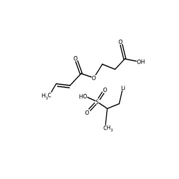 CC=CC(=O)OCCC(=O)O.[Li][CH2]C(C)S(=O)(=O)O